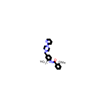 COc1ccccc1C(=O)Nc1ccc(CN2CCN(c3ccccn3)CC2)cc1C(=O)O